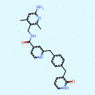 Cc1cc(N)nc(C)c1CNC(=O)c1ccnc(Cc2ccc(Cc3ccc[nH]c3=O)cc2)c1